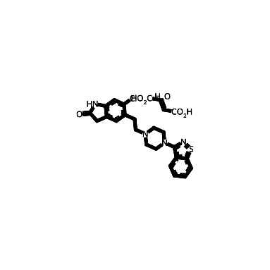 O.O=C(O)C=CC(=O)O.O=C1Cc2cc(CCN3CCN(c4nsc5ccccc45)CC3)c(Cl)cc2N1